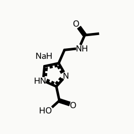 CC(=O)NCc1c[nH]c(C(=O)O)n1.[NaH]